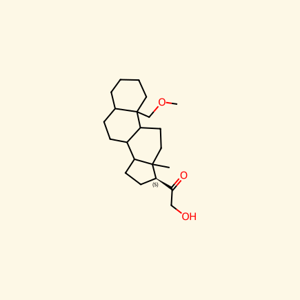 COCC12CCCCC1CCC1C2CCC2(C)C1CC[C@@H]2C(=O)CO